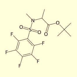 CC(C(=O)OC(C)(C)C)N(C)S(=O)(=O)c1c(F)c(F)c(F)c(F)c1F